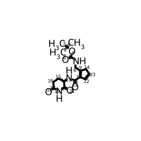 CC(C)(C)OC(=O)NCC1=C(C(=O)NC2CCC(=O)NC2=O)C=CC1